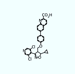 O=C(O)c1ccc2cc(-c3ccc(OCC4C(c5c(Cl)cncc5Cl)=NOC4C4CC4)cc3)ccc2n1